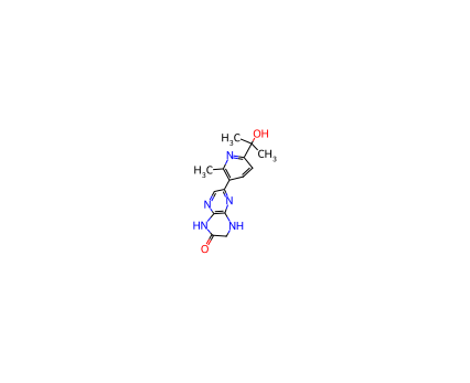 Cc1nc(C(C)(C)O)ccc1-c1cnc2c(n1)NCC(=O)N2